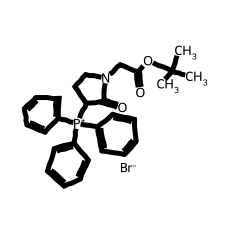 CC(C)(C)OC(=O)CN1CCC([P+](c2ccccc2)(c2ccccc2)c2ccccc2)C1=O.[Br-]